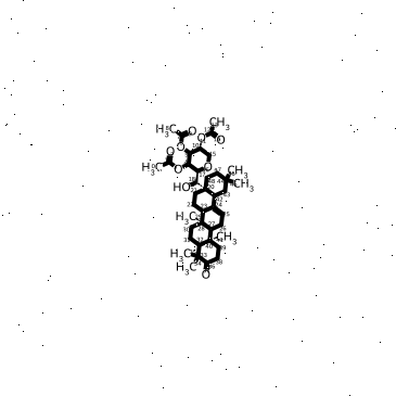 CC(=O)OC1C(OC(C)=O)[C@H](OC(C)=O)CO[C@H]1C(O)[C@@]12CCC3C(=CCC4[C@@]3(C)CCC3C(C)(C)C(=O)CC[C@@]34C)C1CC(C)(C)CC2